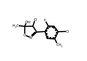 Cc1cc(C2=NOC(C)(O)C2Cl)c(F)cc1Cl